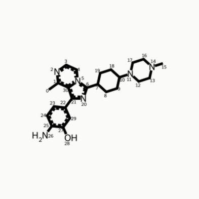 Cc1nccn2c(C3CCC(N4CCN(C)CC4)CC3)nc(-c3ccc(N)c(O)c3)c12